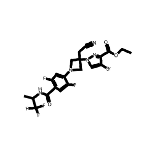 CCOC(=O)c1nn(C2(CC#N)CN(c3cc(F)c(C(=O)NC(C)C(F)(F)F)cc3F)C2)cc1Br